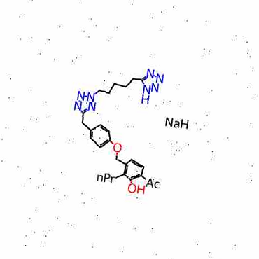 CCCc1c(COc2ccc(Cc3nnn(CCCCCc4nnn[nH]4)n3)cc2)ccc(C(C)=O)c1O.[NaH]